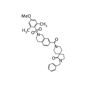 COc1cc(C)c(S(=O)(=O)N2CCc3ccc(C(=O)N4CCC5(CC4)CCN(Cc4ccccc4)C5=O)cc3C2)c(C)c1